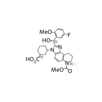 COC(=O)N1c2ccc3c(nc([C@@H](O)c4cc(F)ccc4OC)n3C3CCC[C@H](C(=O)O)C3)c2CC[C@@H]1C